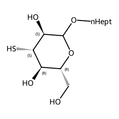 CCCCCCCOC1O[C@H](CO)[C@@H](O)[C@H](S)[C@H]1O